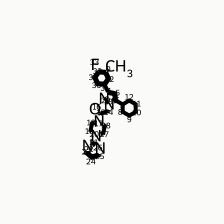 Cc1cc(-c2cc(C3CCCCC3)n(CC(=O)N3CCN(c4ncccn4)CC3)n2)ccc1F